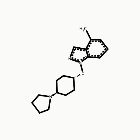 Cc1cccc2c1cnn2O[C@H]1CC[C@H](N2CCCC2)CC1